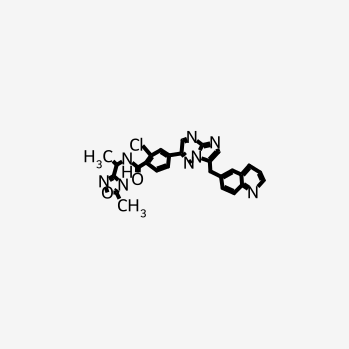 Cc1nc(C(C)NC(=O)c2ccc(-c3cnc4ncc(Cc5ccc6ncccc6c5)n4n3)cc2Cl)no1